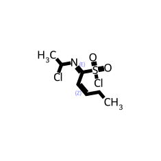 CC/C=C\C(=N/C(C)Cl)S(=O)(=O)Cl